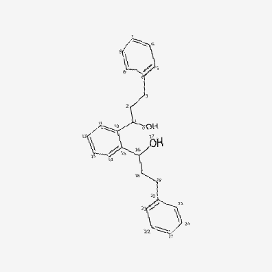 OC(CCc1ccccc1)c1ccccc1C(O)CCc1ccccc1